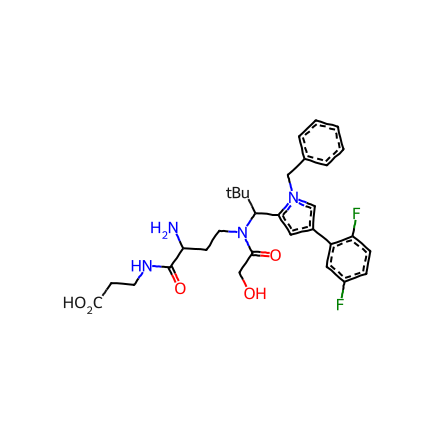 CC(C)(C)C(c1cc(-c2cc(F)ccc2F)cn1Cc1ccccc1)N(CCC(N)C(=O)NCCC(=O)O)C(=O)CO